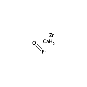 O=[P].[CaH2].[Zr]